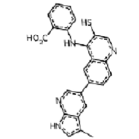 Cc1c[nH]c2ncc(-c3ccc4ncc(S)c(Nc5ccccc5C(=O)O)c4c3)cc12